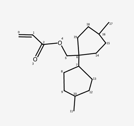 C=CC(=O)OCC1(C2CCC(C)CC2)CCC(C)CC1